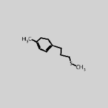 CSCCCC1=CC=C(C)CC1